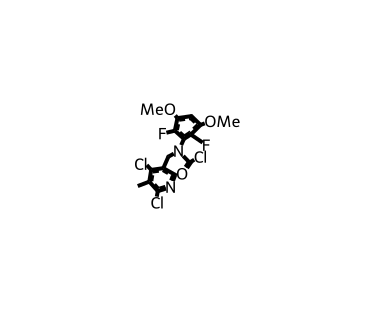 COc1cc(OC)c(F)c(N(Cc2cnc(Cl)c(C)c2Cl)C(=O)Cl)c1F